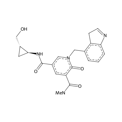 CNC(=O)c1cc(C(=O)N[C@H]2C[C@@H]2CO)cn(Cc2cccc3c2CC=N3)c1=O